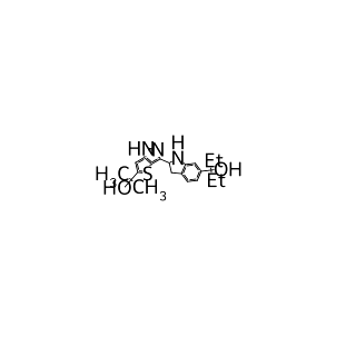 CCC(O)(CC)c1ccc2c(c1)NC(c1n[nH]c3cc(C(C)(C)O)sc13)C2